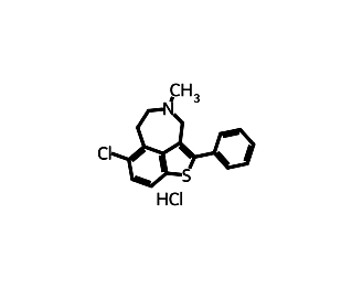 CN1CCc2c(Cl)ccc3sc(-c4ccccc4)c(c23)C1.Cl